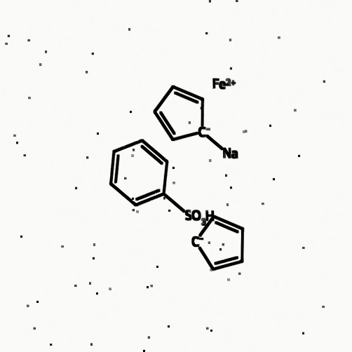 O=S(=O)(O)c1ccccc1.[Fe+2].[Na][c-]1cccc1.c1cc[cH-]c1